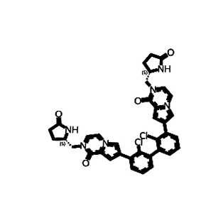 O=C1CC[C@@H](Cn2ccn3cc(-c4cccc(-c5cccc(-c6cc7c(=O)n(C[C@@H]8CCC(=O)N8)ccn7c6)c5Cl)c4Cl)cc3c2=O)N1